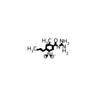 CCC=Cc1cc(C)c(C(=O)N=C(N)N)cc1[N+](=O)[O-]